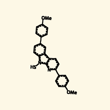 COc1ccc(-c2ccc3c(c2)c2ccc(-c4ccc(OC)cc4)nc2n3S)cc1